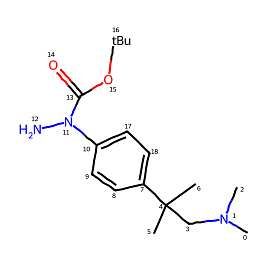 CN(C)CC(C)(C)c1ccc(N(N)C(=O)OC(C)(C)C)cc1